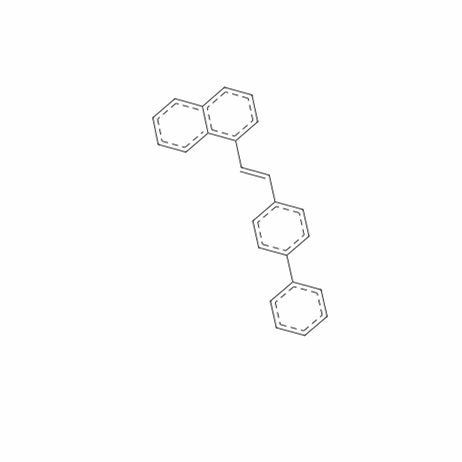 C(=C\c1cccc2ccccc12)/c1ccc(-c2ccccc2)cc1